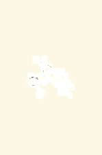 Cc1cc(C)c(C(=O)PCC(C)C)c(C)c1.c1ccc(C2CO2)cc1